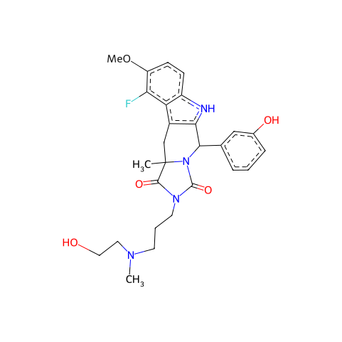 COc1ccc2[nH]c3c(c2c1F)CC1(C)C(=O)N(CCCN(C)CCO)C(=O)N1C3c1cccc(O)c1